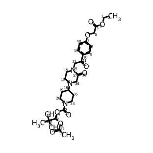 CCOC(=O)COc1ccc(C(=O)CN2CCN(C3CCN(C(=O)OC(OC(C)=O)C(C)(C)C)CC3)CC2=O)cc1